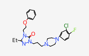 CCc1nn(CCCN2CCN(c3ccc(F)c(Cl)c3)CC2)c(=O)n1CCOc1ccccc1